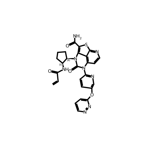 C=CC(=O)N[C@H]1CCC[C@H]1N1C(=O)N(c2ccc(Oc3cccnn3)cn2)c2ccnc3sc(C(N)=O)c1c23